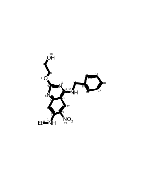 CCNc1cc2nc(OCCO)nc(NCc3ccccc3)c2cc1[N+](=O)[O-]